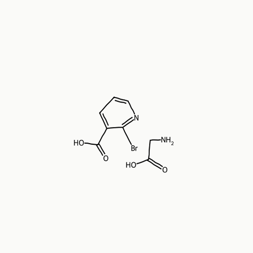 NCC(=O)O.O=C(O)c1cccnc1Br